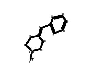 CC(C)N1CCC(=Cc2ccccc2)CC1